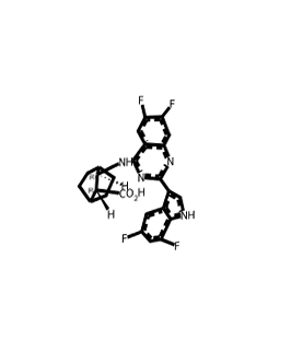 O=C(O)[C@@H]1C2CCC(CC2)[C@H]1Nc1nc(-c2c[nH]c3c(F)cc(F)cc23)nc2cc(F)c(F)cc12